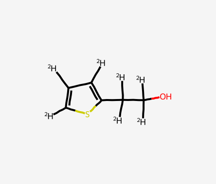 [2H]c1sc(C([2H])([2H])C([2H])([2H])O)c([2H])c1[2H]